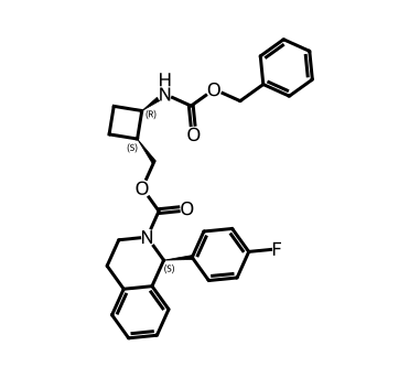 O=C(N[C@@H]1CC[C@@H]1COC(=O)N1CCc2ccccc2[C@@H]1c1ccc(F)cc1)OCc1ccccc1